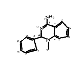 CN1c2ccccc2C(N)=NC1c1ccccc1